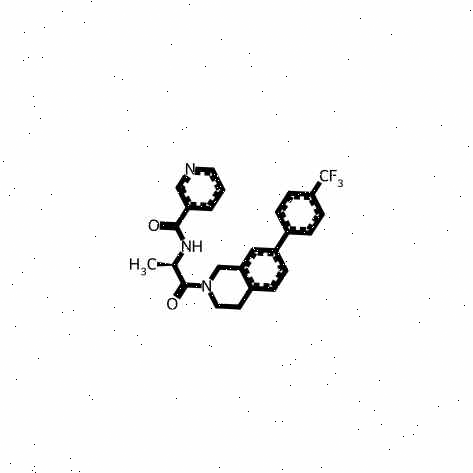 C[C@@H](NC(=O)c1cccnc1)C(=O)N1CCc2ccc(-c3ccc(C(F)(F)F)cc3)cc2C1